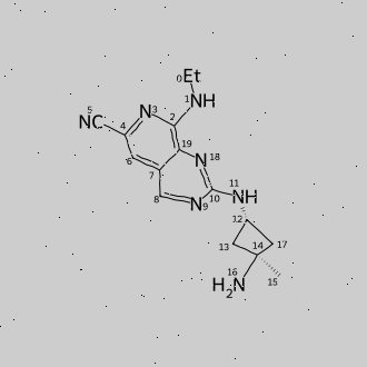 CCNc1nc(C#N)cc2cnc(N[C@H]3C[C@](C)(N)C3)nc12